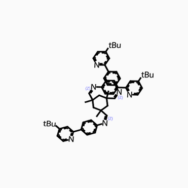 CC1(/C=N\c2ccc(-c3cc(C(C)(C)C)ccn3)cc2)CC(C)(/C=N\c2ccc(-c3cc(C(C)(C)C)ccn3)cc2)CC(C)(/C=N\c2ccc(-c3cc(C(C)(C)C)ccn3)cc2)C1